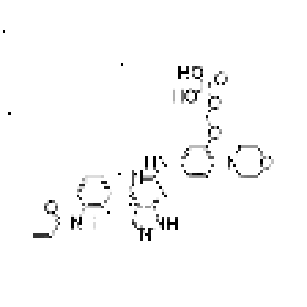 C=CC(=O)Nc1cccc(-c2nc(Nc3ccc(N4CCOCC4)c(OCOP(=O)(O)O)c3)nc3[nH]ncc23)c1